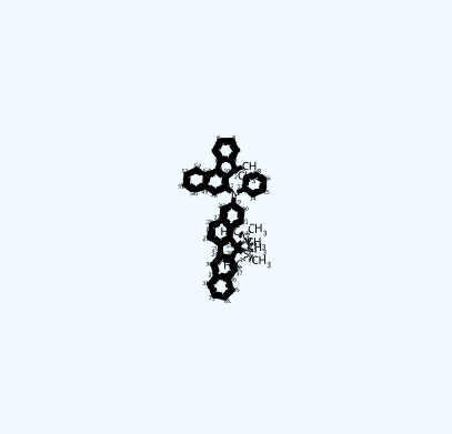 CC1(C)c2ccccc2-c2c1c(N(c1ccccc1)c1ccc3c4c(ccc3c1)-c1cc3ccccc3cc1C4([Si](C)(C)C)[Si](C)(C)C)cc1ccccc21